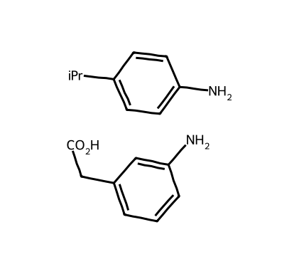 CC(C)c1ccc(N)cc1.Nc1cccc(CC(=O)O)c1